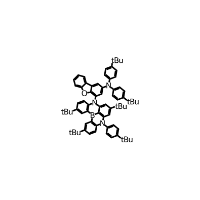 CC(C)(C)c1ccc(N(c2ccc(C(C)(C)C)cc2)c2cc(N3c4ccc(C(C)(C)C)cc4B4c5cc(C(C)(C)C)ccc5N(c5ccc(C(C)(C)C)cc5)c5cc(C(C)(C)C)cc3c54)c3oc4ccccc4c3c2)cc1